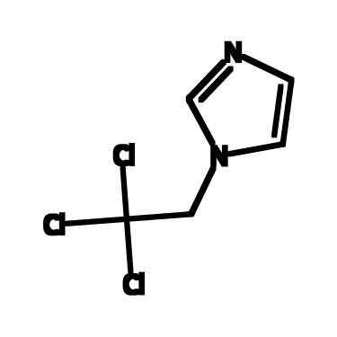 ClC(Cl)(Cl)Cn1ccnc1